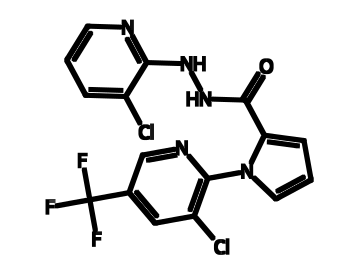 O=C(NNc1ncccc1Cl)c1cccn1-c1ncc(C(F)(F)F)cc1Cl